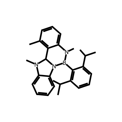 Cc1cccc2c1C1N(C)c3ccccc3N1B(c1c(C(C)C)cccc1C(C)C)N2C